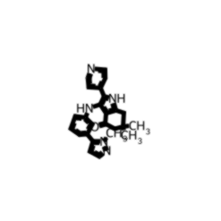 Cn1nccc1-c1cccc(Nc2c(-c3ccncc3)[nH]c3c2C(=O)CC(C)(C)C3)c1